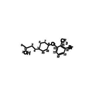 CC(O)CCC1CCC(Oc2cccc(Br)c2C(F)(F)F)CC1